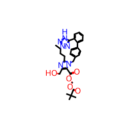 CCCCc1nc(CO)c(C(=O)OCOC(=O)C(C)(C)C)n1Cc1ccc(-c2ccccc2-c2nnn[nH]2)cc1